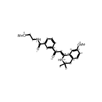 COCCNC(=O)c1cccc(C(=O)C=C2NC(C)(C)Cc3ccc(OC)cc32)c1